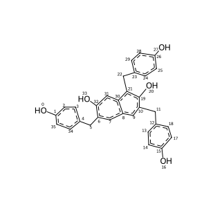 Oc1ccc(Cc2cc3cc(Cc4ccc(O)cc4)c(O)c(Cc4ccc(O)cc4)c3cc2O)cc1